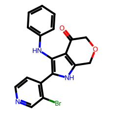 O=C1COCc2[nH]c(-c3ccncc3Br)c(Nc3ccccc3)c21